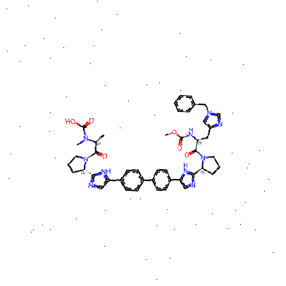 COC(=O)N[C@@H](Cc1cn(Cc2ccccc2)cn1)C(=O)N1CCC[C@H]1c1ncc(-c2ccc(-c3ccc(-c4cnc([C@@H]5CCCN5C(=O)[C@H](C)N(C)C(=O)O)[nH]4)cc3)cc2)[nH]1